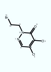 O=c1c(Cl)c(Cl)cnn1CCBr